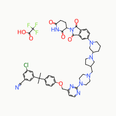 CC(C)(c1ccc(OCc2ccnc(N3CCN(CC4CCN(C5CCCN(c6ccc7c(c6)C(=O)N(C6CCC(=O)NC6=O)C7=O)C5)C4)CC3)n2)cc1)c1cc(Cl)cc(C#N)c1.O=C(O)C(F)(F)F